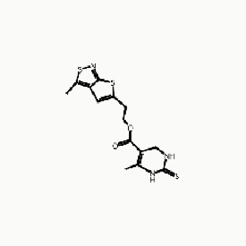 CC1=C(C(=O)OCCc2cc3c(C)snc3s2)CNC(=S)N1